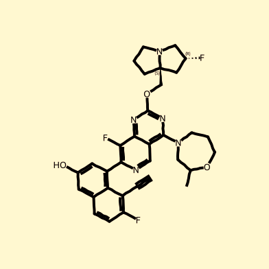 C#Cc1c(F)ccc2cc(O)cc(-c3ncc4c(N5CCCOC(C)C5)nc(OC[C@@]56CCCN5C[C@H](F)C6)nc4c3F)c12